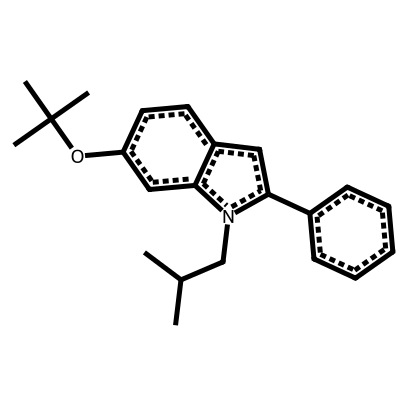 CC(C)Cn1c(-c2ccccc2)cc2ccc(OC(C)(C)C)cc21